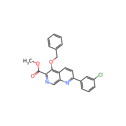 COC(=O)c1ncc2nc(-c3cccc(Cl)c3)ccc2c1OCc1ccccc1